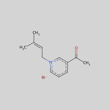 CC(=O)c1ccc[n+](CC=C(C)C)c1.[Br-]